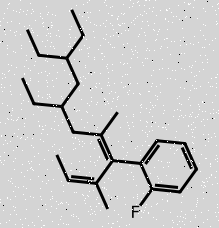 C/C=C(C)\C(=C(\C)CC(CC)CC(CC)CC)c1ccccc1F